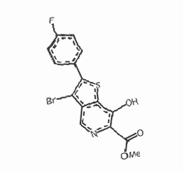 COC(=O)c1ncc2c(Br)c(-c3ccc(F)cc3)sc2c1O